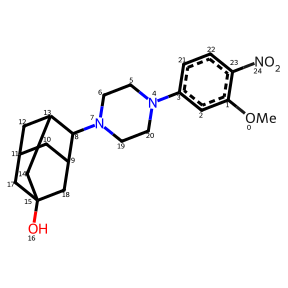 COc1cc(N2CCN(C3C4CC5CC3CC(O)(C5)C4)CC2)ccc1[N+](=O)[O-]